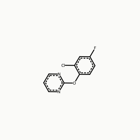 Fc1ccc(Oc2ncccn2)c(Cl)c1